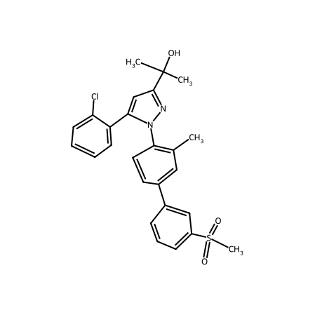 Cc1cc(-c2cccc(S(C)(=O)=O)c2)ccc1-n1nc(C(C)(C)O)cc1-c1ccccc1Cl